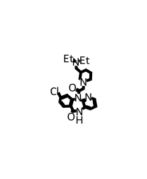 CCN(CC)CC1CCCN(CC(=O)N2c3cc(Cl)ccc3C(=O)Nc3cccnc32)C1